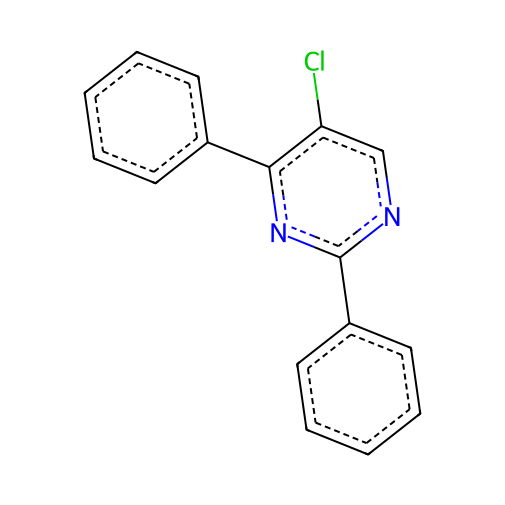 Clc1cnc(-c2ccccc2)nc1-c1ccccc1